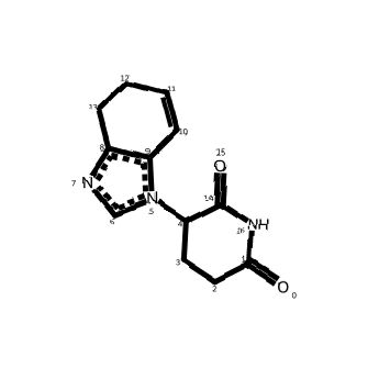 O=C1CCC(n2cnc3c2C=CCC3)C(=O)N1